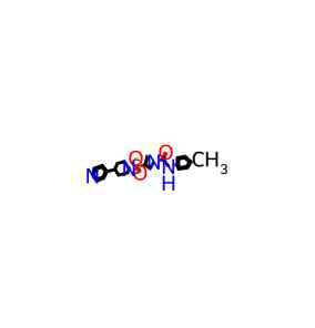 Cc1ccc(NC(=O)N2CC(S(=O)(=O)N3CCC(c4ccncc4)CC3)C2)cc1